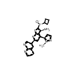 Cn1nccc1-c1cc(-c2cnc3ncccc3c2)nc2sc([S+]([O-])C3CCC3)c(N)c12